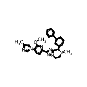 COc1nc(-c2nc3n(n2)CCN(C)C3c2cccc(-c3ccccc3)c2)ccc1-n1cnc(C)c1